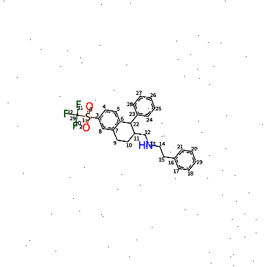 O=S(=O)(c1ccc2c(c1)CCC(CNCCc1ccccc1)C2c1ccccc1)C(F)(F)F